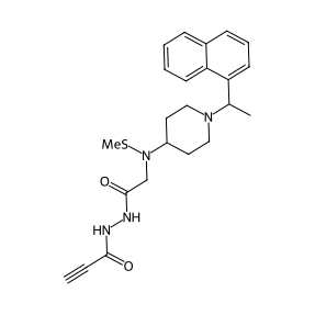 C#CC(=O)NNC(=O)CN(SC)C1CCN(C(C)c2cccc3ccccc23)CC1